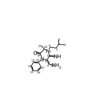 CC(C)CCN1C(=N)/C(=C\N)N(c2ccccc2)C(=O)C1C